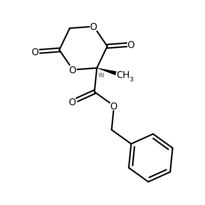 C[C@@]1(C(=O)OCc2ccccc2)OC(=O)COC1=O